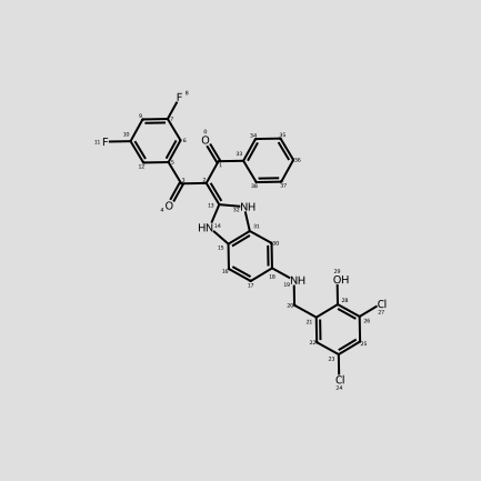 O=C(C(C(=O)c1cc(F)cc(F)c1)=C1Nc2ccc(NCc3cc(Cl)cc(Cl)c3O)cc2N1)c1ccccc1